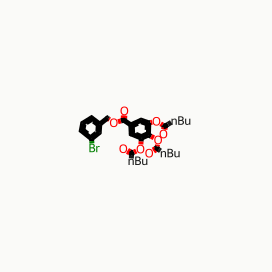 CCCCC(=O)Oc1cc(C(=O)OCc2cccc(Br)c2)cc(OC(=O)CCCC)c1OC(=O)CCCC